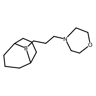 C1CC2CCCC(C1)B2CCCN1CCOCC1